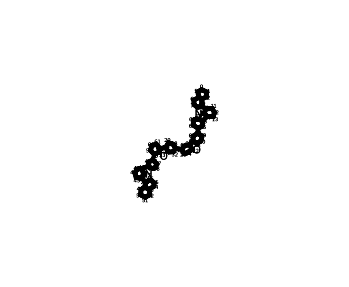 c1ccc2c(c1)ccc1c2c2cccc3c4cc(-c5ccc6oc7ccc(-c8ccc9c(c8)oc8c(-c%10ccc%11c(c%10)c%10cccc%12c%13c%14ccccc%14ccc%13n%11c%10%12)cccc89)cc7c6c5)ccc4n1c32